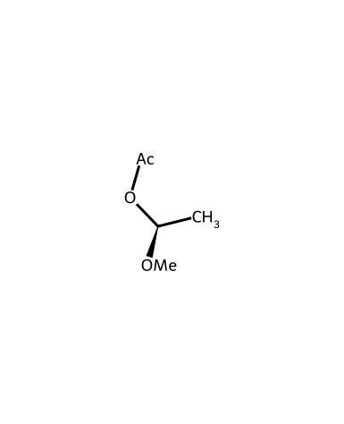 CO[C@H](C)OC(C)=O